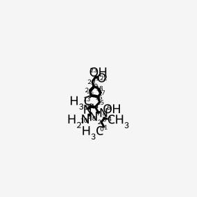 CCCC(C)N(O)c1nc(N)nc(C)c1Cc1ccc(CC(=O)O)cc1